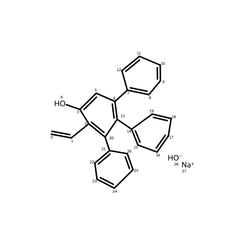 C=Cc1c(O)cc(-c2ccccc2)c(-c2ccccc2)c1-c1ccccc1.[Na+].[OH-]